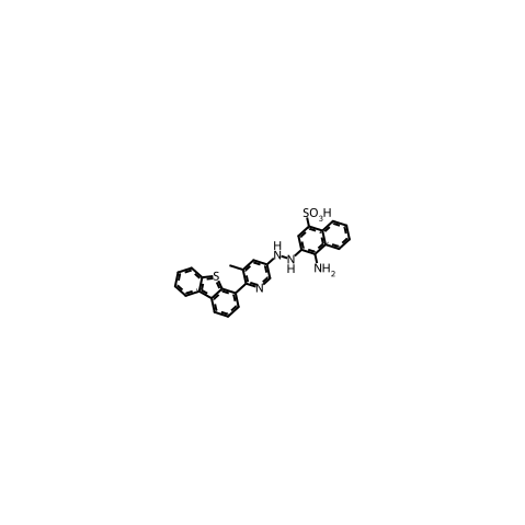 Cc1cc(NNc2cc(S(=O)(=O)O)c3ccccc3c2N)cnc1-c1cccc2c1sc1ccccc12